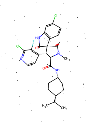 CC(C)[C@H]1CC[C@H](NC(=O)[C@H]2[C@H](c3ccnc(Cl)c3F)[C@]3(C(=O)Nc4cc(Cl)ccc43)C3(CCCCC3)N2C)CC1